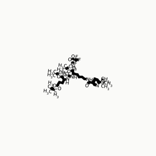 CC(C)(C)OC(=O)CCC(NC(=O)NC(CCCCNC(=O)c1ccc([N+](C)(C)C)nc1)C(=O)OC(C)(C)C)C(=O)OC(C)(C)C.O=S(=O)([O-])C(F)(F)F